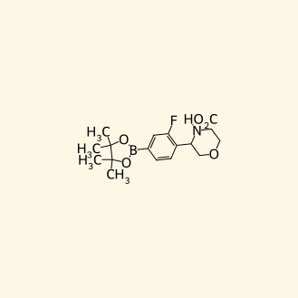 CC1(C)OB(c2ccc(C3COCCN3C(=O)O)c(F)c2)OC1(C)C